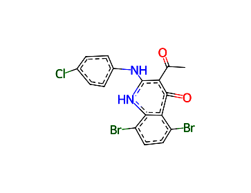 CC(=O)c1c(Nc2ccc(Cl)cc2)[nH]c2c(Br)ccc(Br)c2c1=O